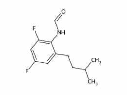 CC(C)CCc1cc(F)cc(F)c1NC=O